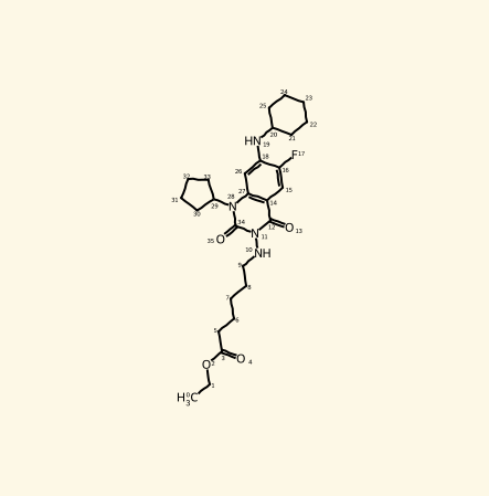 CCOC(=O)CCCCCNn1c(=O)c2cc(F)c(NC3CCCCC3)cc2n(C2CCCC2)c1=O